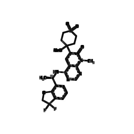 COC1(c2cc3c(N[C@H](C)c4cccc5c4OCC5(F)F)ncnc3n(C)c2=O)CCS(=O)(=O)CC1